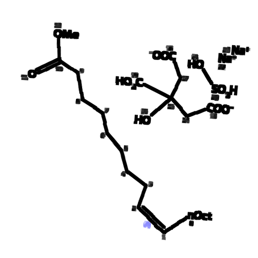 CCCCCCCC/C=C\CCCCCCCC(=O)OC.O=C([O-])CC(O)(CC(=O)[O-])C(=O)O.O=S(=O)(O)O.[Na+].[Na+]